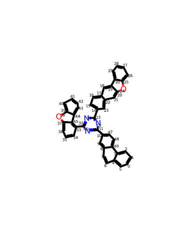 c1ccc2c(c1)ccc1cc(-c3nc(-c4ccc5cc6c(cc5c4)oc4ccccc46)nc(-c4cccc5oc6ccccc6c45)n3)ccc12